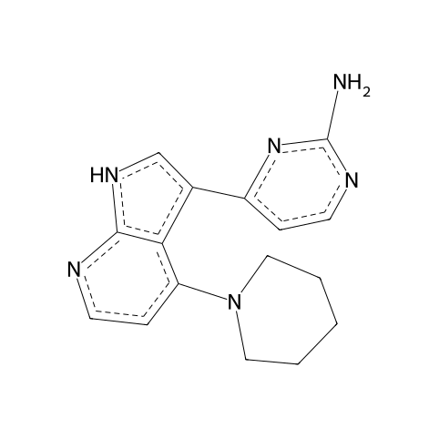 Nc1nccc(-c2c[nH]c3nccc(N4CCCCC4)c23)n1